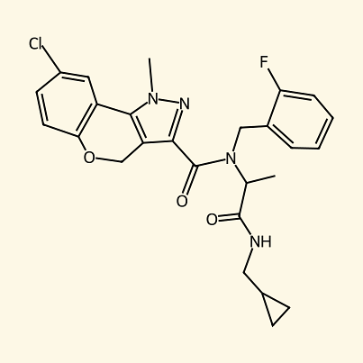 CC(C(=O)NCC1CC1)N(Cc1ccccc1F)C(=O)c1nn(C)c2c1COc1ccc(Cl)cc1-2